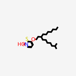 CCCCCCCC(CCCCCC(C)C)CCOc1cccn(O)c1=S